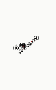 Cc1nc(N)sc1S(=O)(=O)N1Cc2cc3c(cc2CC1C(=O)N[C@@H](Cc1ccc(-c2ccccc2)cc1)C(=O)O)OC[C@H](c1ccc(OCc2ccc(Cl)c(Cl)c2)cc1)O3